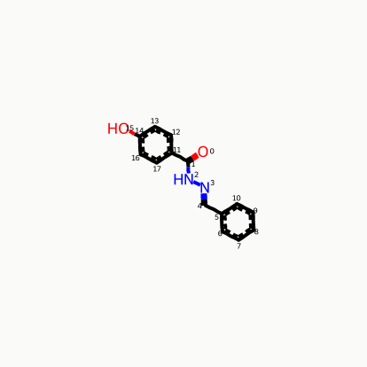 O=C(NN=Cc1ccccc1)c1ccc(O)cc1